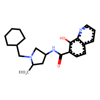 CCOC(=O)C1CC(NC(=O)c2ccc3cccnc3c2O)CN1CC1CCCCC1